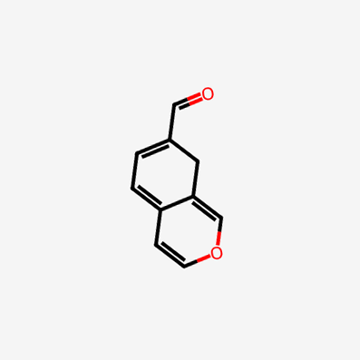 O=CC1=CC=C2C=COC=C2C1